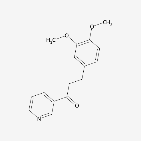 COc1ccc(CCC(=O)c2cccnc2)cc1OC